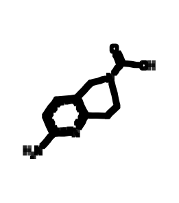 Nc1ccc2c(n1)CCN(C(=O)O)C2